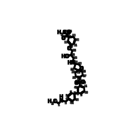 CCNCc1ccc(-c2cccc(S(=O)(=O)N3CCC4(CC3)CC(NCC(O)COc3cccc(S(C)(=O)=O)c3)CO4)c2)cc1